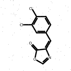 O=C1OC=NC1=Cc1ccc(Cl)c(Cl)c1